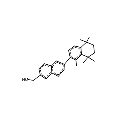 Cc1c(-c2ccc3cc(CO)ccc3c2)ccc2c1C(C)(C)CCC2(C)C